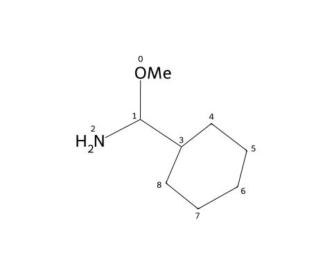 COC(N)C1CCCCC1